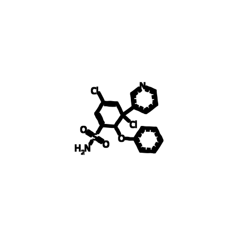 NS(=O)(=O)C1=CC(Cl)=CC(Cl)(c2cccnc2)C1Oc1ccccc1